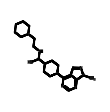 Cn1ncc2c(N3CCC(C(O)NCCN4CCCCC4)CC3)ncnc21